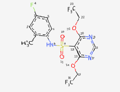 Cc1cc(F)ccc1NS(=O)(=O)c1c(OCC(F)(F)F)ncnc1OCC(F)(F)F